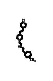 CC1=CCCN(CCNCCN2CCN(CCN3CCNCC3)CC2)CC1